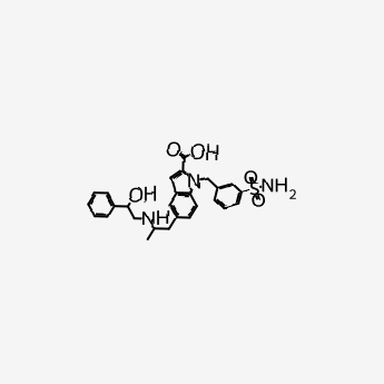 CC(Cc1ccc2c(c1)cc(C(=O)O)n2Cc1cccc(S(N)(=O)=O)c1)NCC(O)c1ccccc1